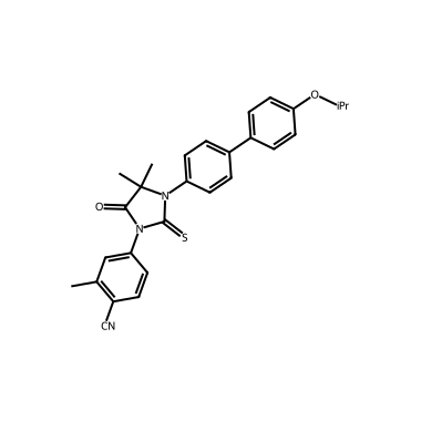 Cc1cc(N2C(=O)C(C)(C)N(c3ccc(-c4ccc(OC(C)C)cc4)cc3)C2=S)ccc1C#N